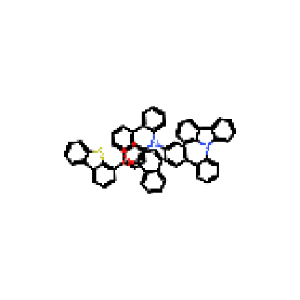 c1ccc(N(c2ccc(-c3ccccc3-n3c4ccccc4c4ccccc43)cc2)c2ccc(-c3cccc4c3sc3ccccc34)cc2)c(-c2cccc3oc4c5ccccc5ccc4c23)c1